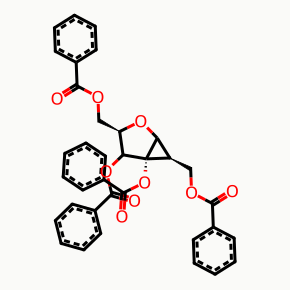 O=C(OC[C@@H]1C2O[C@H](COC(=O)c3ccccc3)C(OC(=O)c3ccccc3)[C@@]21OC(=O)c1ccccc1)c1ccccc1